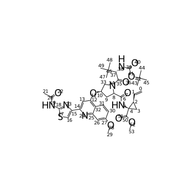 C=C[C@H]1C[C@]1(NC(=O)C1C[C@@H](Oc2cc(-c3csc(NC(C)=O)n3)nc3cc(OC)ccc23)CN1C(=O)[C@@H](NC(=O)OC(C)(C)C)C(C)(C)C)C(=O)OC